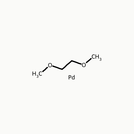 COCCOC.[Pd]